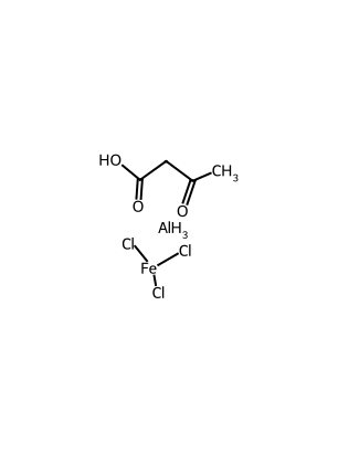 CC(=O)CC(=O)O.[AlH3].[Cl][Fe]([Cl])[Cl]